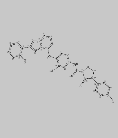 O=C(Nc1ccc(Oc2ccnc3cc(-c4cccc[n+]4[O-])sc23)c(F)c1)N1CCN(c2ccc(F)cc2)C1=O